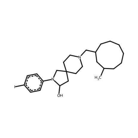 CC1CCCCCCC(CN2CCC3(CC2)CC(O)N(c2ccc(I)cc2)C3)C1